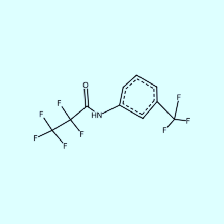 O=C(Nc1cccc(C(F)(F)F)c1)C(F)(F)C(F)(F)F